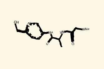 CNCC(=O)NC(C)C(=O)Nc1ccc(CO)nc1